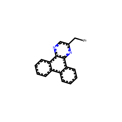 CC(C)Cc1cnc2c3ccccc3c3ccccc3c2n1